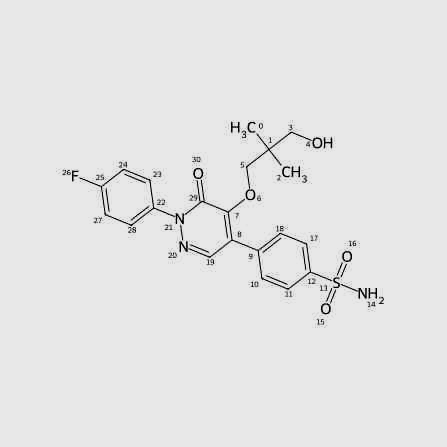 CC(C)(CO)COc1c(-c2ccc(S(N)(=O)=O)cc2)cnn(-c2ccc(F)cc2)c1=O